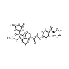 O=C(O)CN(c1cccc2c(C(=O)NCc3ccc(C(=O)N4CCOCC4)cc3)cccc12)S(=O)(=O)c1cc(Cl)cc(Cl)c1